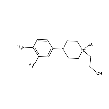 CC[N+]1(CCO)CCN(c2ccc(N)c(C)c2)CC1